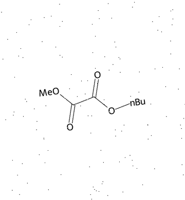 CCCCOC(=O)C(=O)OC